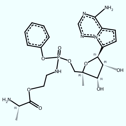 C[C@H](N)C(=O)OCCNP(=O)(OC[C@@]1(C)O[C@@H](c2ccc3c(N)ncnn23)[C@H](O)[C@@H]1O)Oc1ccccc1